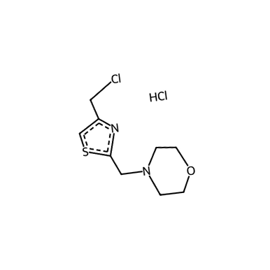 Cl.ClCc1csc(CN2CCOCC2)n1